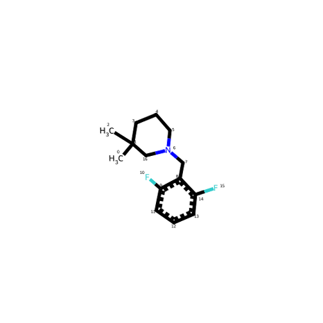 CC1(C)CCCN(Cc2c(F)cccc2F)C1